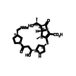 CNC[C@@H]1CCN(C(=O)CC(O)[C@@H]2C[C@H](SC3=C(C(=O)O)N4C(=O)[C@H]([C@@H](C)O)[C@H]4[C@H]3C)CN2)C1